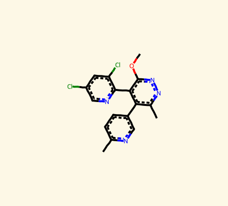 COc1nnc(C)c(-c2ccc(C)nc2)c1-c1ncc(Cl)cc1Cl